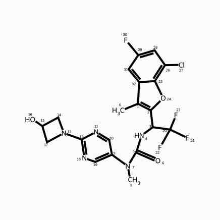 Cc1c(C(NC(=O)N(C)c2cnc(N3CC(O)C3)nc2)C(F)(F)F)oc2c(Cl)cc(F)cc12